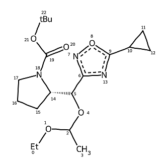 CCOC(C)OC(c1noc(C2CC2)n1)[C@@H]1CCCN1C(=O)OC(C)(C)C